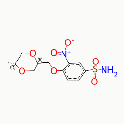 C[C@@H]1CO[C@@H](COc2ccc(S(N)(=O)=O)cc2[N+](=O)[O-])CO1